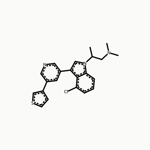 CC(CN(C)C)n1cc(-c2cncc(-c3ccsc3)c2)c2c(Cl)cccc21